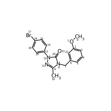 COc1cccc(Cn2c(C)nn(-c3ccc(Br)cc3)c2=O)c1